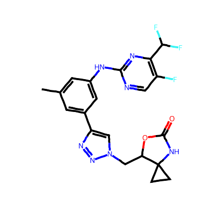 Cc1cc(Nc2ncc(F)c(C(F)F)n2)cc(-c2cn(CC3OC(=O)NC34CC4)nn2)c1